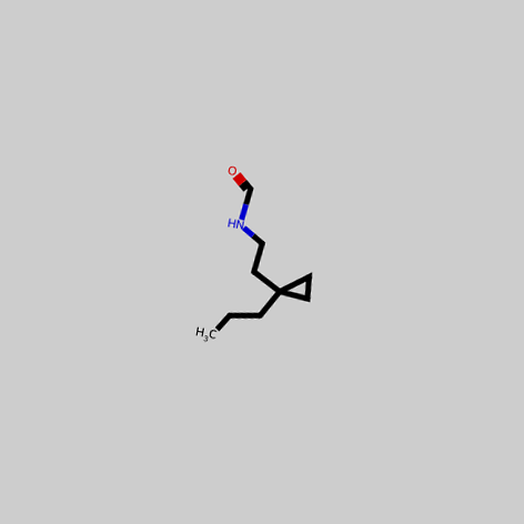 CCCC1(CCNC=O)CC1